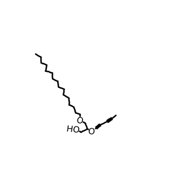 CC#CC#COC(CO)COCCCCCCCCCCCCCCCC